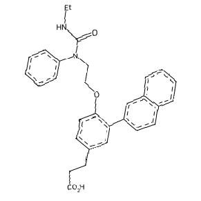 CCNC(=O)N(CCOc1ccc(CCC(=O)O)cc1-c1ccc2ccccc2c1)c1ccccc1